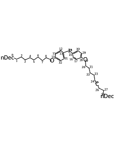 CCCCCCCCCCCCCCCCCCOc1ccc([I+]c2ccc(OCCCCCCCCCCCCCCCCCC)cc2)cc1